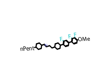 CCCCCC1CCC(/C=C/CCC2CCC(c3ccc(-c4ccc(OC)c(F)c4F)cc3F)CC2)CC1